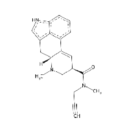 C#CCN(C)C(=O)[C@@H]1C=C2c3cccc4[nH]cc(c34)C[C@H]2N(C)C1